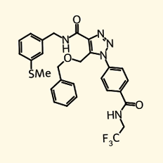 CSc1cccc(CNC(=O)c2nnn(-c3ccc(C(=O)NCC(F)(F)F)cc3)c2COCc2ccccc2)c1